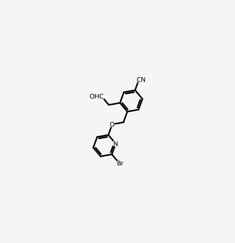 N#Cc1ccc(COc2cccc(Br)n2)c(CC=O)c1